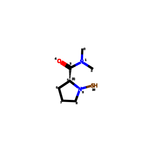 CN(C)C(=O)[C@H]1CCCN1S